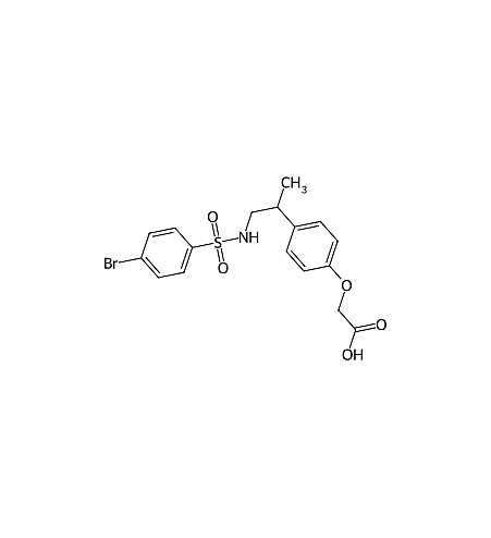 CC(CNS(=O)(=O)c1ccc(Br)cc1)c1ccc(OCC(=O)O)cc1